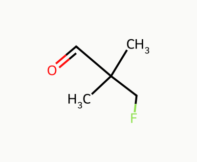 CC(C)(C=O)CF